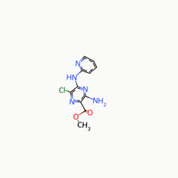 COC(=O)c1nc(Cl)c(Nc2ccccn2)nc1N